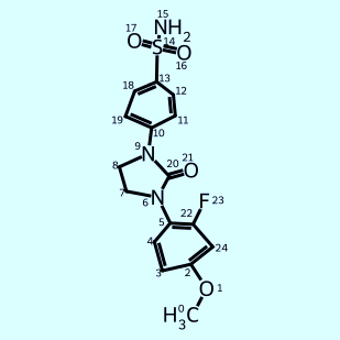 COc1ccc(N2CCN(c3ccc(S(N)(=O)=O)cc3)C2=O)c(F)c1